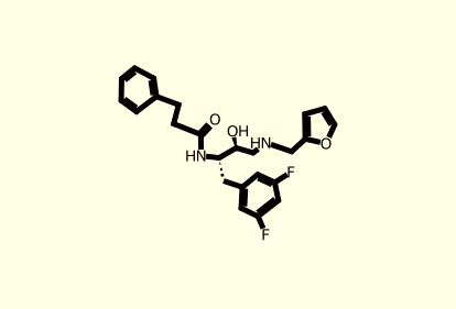 O=C(CCc1ccccc1)N[C@@H](Cc1cc(F)cc(F)c1)[C@@H](O)CNCc1ccco1